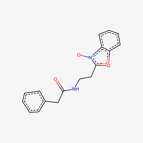 O=C(Cc1ccccc1)NCCc1oc2ccccc2[n+]1[O-]